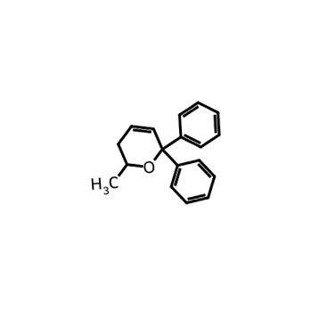 CC1CC=CC(c2ccccc2)(c2ccccc2)O1